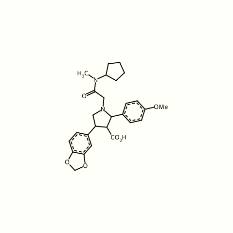 COc1ccc(C2C(C(=O)O)C(c3ccc4c(c3)OCO4)CN2CC(=O)N(C)C2CCCC2)cc1